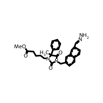 COC(=O)CCCCN1C(=O)N(Cc2ccc3ccc(C=NN)cc3c2)C(=O)C1(C)c1ccccc1